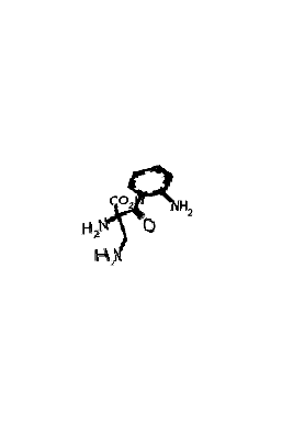 NCC(N)(C(=O)O)C(=O)c1ccccc1N